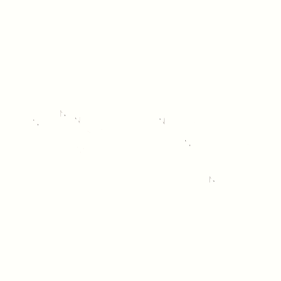 O=C1c2ccc(CN3CCN(c4cncc(Cl)c4Cl)CC3)cc2CN1N1C=CCNC1